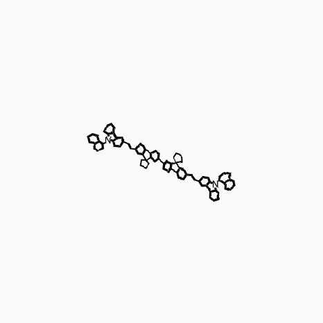 C(=C\c1ccc2c(c1)c1ccccc1n2-c1cccc2ccccc12)/c1ccc2c(c1)C1(CCCC1)c1cc(-c3ccc4c(c3)C3(CCCC3)c3cc(/C=C/c5ccc6c(c5)c5ccccc5n6-c5cccc6ccccc56)ccc3-4)ccc1-2